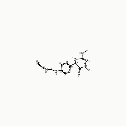 CNC(=O)OC(C(=O)NC)c1ccc(OCN=[N+]=[N-])cc1